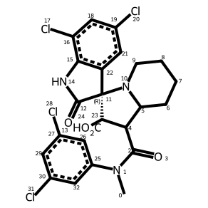 CN(C(=O)C1C2CCCCN2[C@]2(C(=O)Nc3c(Cl)cc(Cl)cc32)C1C(=O)O)c1cc(Cl)cc(Cl)c1